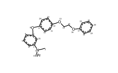 CCCN(C)c1cccc(Oc2ccc(OCCOc3ccccc3)cc2)c1